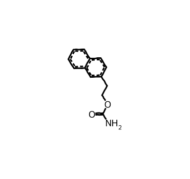 NC(=O)OCCc1ccc2ccccc2c1